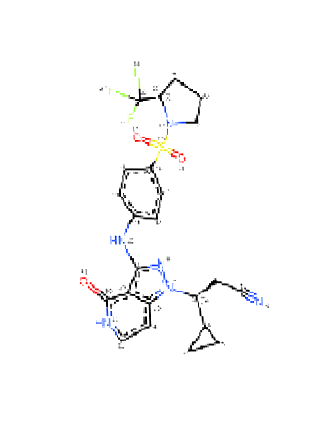 N#CC[C@@H](C1CC1)n1nc(Nc2ccc(S(=O)(=O)N3CCC[C@@H]3C(F)(F)F)cc2)c2c(=O)[nH]ccc21